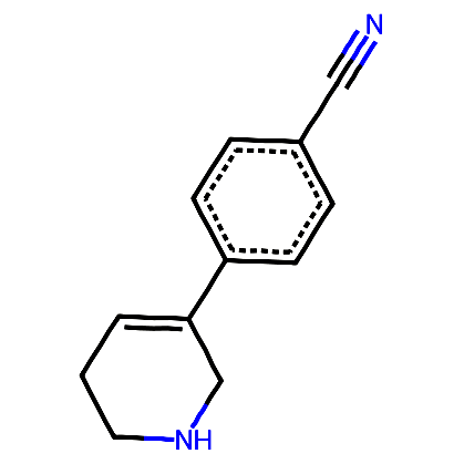 N#Cc1ccc(C2=CCCNC2)cc1